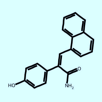 NC(=O)/C(=C\c1cccc2ccccc12)c1ccc(O)cc1